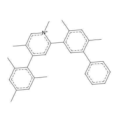 Cc1cc(C)c(-c2cc(-c3cc(-c4ccccc4)c(C)cc3C)[n+](C)cc2C)c(C)c1